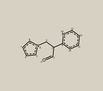 O=CC(Cn1cccc1)c1ccccn1